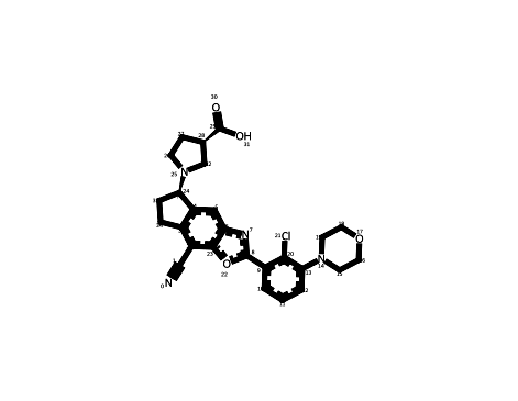 N#Cc1c2c(cc3nc(-c4cccc(N5CCOCC5)c4Cl)oc13)[C@H](N1CC[C@@H](C(=O)O)C1)CC2